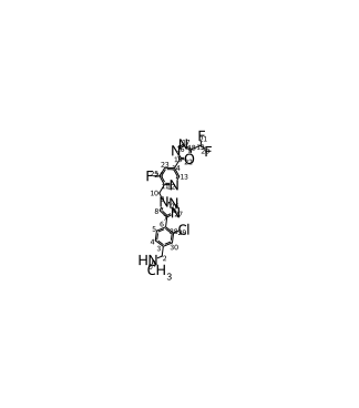 CNCc1ccc(-c2cn(Cc3ncc(-c4nnc(C(F)F)o4)cc3F)nn2)c(Cl)c1